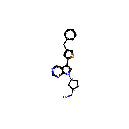 NC[C@@H]1CC[C@H](n2cc(-c3cc(Cc4ccccc4)cs3)c3cncnc32)C1